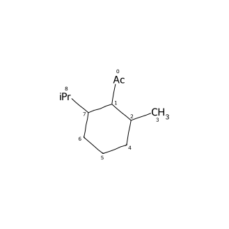 CC(=O)C1C(C)CCCC1C(C)C